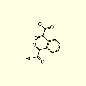 O=C(O)C(=O)c1ccccc1C(=O)C(=O)O